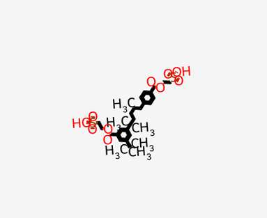 CC(CCC(C)(C)c1cc(C(=O)OCCS(=O)(=O)O)cc(C(C)(C)C)c1)Cc1ccc(C(=O)OCCS(=O)(=O)O)cc1